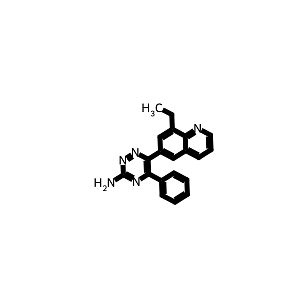 CCc1cc(-c2nnc(N)nc2-c2ccccc2)cc2cccnc12